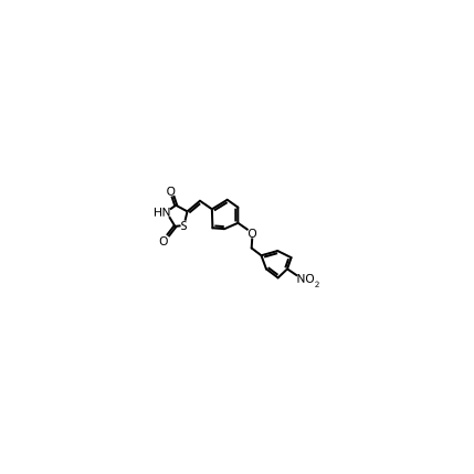 O=C1NC(=O)/C(=C/c2ccc(OCc3ccc([N+](=O)[O-])cc3)cc2)S1